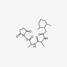 CC(NC(=O)CC1C(C)CCCC1C)C(=O)NC(C)C(=O)ON1C(=O)CCC1=O